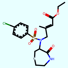 CCOC(=O)/C=C(\C)CN(C1CCCCNC1=O)S(=O)(=O)c1ccc(Cl)cc1